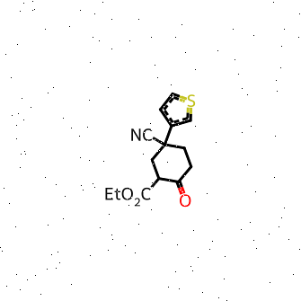 CCOC(=O)C1CC(C#N)(c2ccsc2)CCC1=O